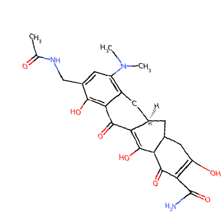 CC(=O)NCc1cc(N(C)C)c2c(c1O)C(=O)C1=C(O)C3C(=O)C(C(N)=O)=C(O)CC3C[C@@H]1C2